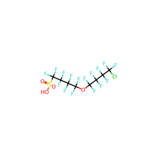 O=S(=O)(O)C(F)(F)C(F)(F)C(F)(F)C(F)(F)OC(F)(F)C(F)(F)C(F)(F)C(F)(F)Cl